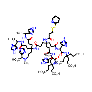 CN(CCCC(CCC(=O)NC(C(=O)O)c1c[nH]cn1)(CCC(=O)NC(C(=O)O)c1c[nH]cn1)NC(=O)CCC(CCC(=O)NC(C(=O)NC(CCC(=O)O)(CCC(=O)O)CCC(=O)O)c1c[nH]cn1)(CCC(=O)NC(C(=O)NC(CCC(=O)O)(CCC(=O)O)CCC(=O)O)c1c[nH]cn1)NC(=O)CCSSc1ccccn1)C(C(=O)O)c1c[nH]cn1